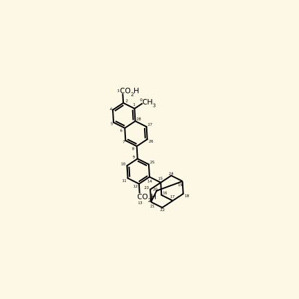 Cc1c(C(=O)O)ccc2cc(-c3ccc(C(=O)O)c(C45CC6CC(CC(C6)C4)C5)c3)ccc12